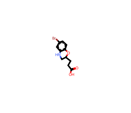 O=C(O)CCC1CNc2cc(Br)ccc2O1